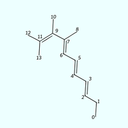 CC/C=C/C=C/C=C(\C)C(C)=C(C)C